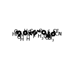 C[C@H]1CN(CCO[C@H]2CC[C@H](N3C(=S)N(c4ccc(C#N)c(C(F)(F)F)c4)C(=O)C3(C)C)CC2)C[C@@H](F)N1CC(=O)Nc1cccc(N[C@@H]2CCC(=O)NC2=O)c1